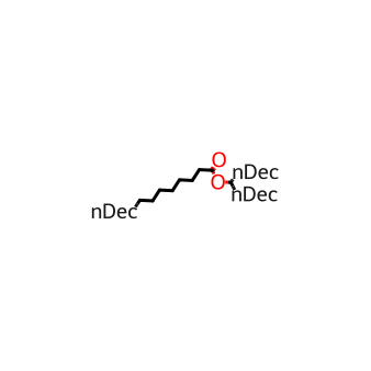 CCCCCCCCCCCCCCCCCC(=O)OC(CCCCCCCCCC)CCCCCCCCCC